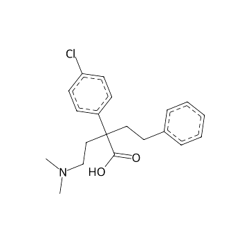 CN(C)CCC(CCc1ccccc1)(C(=O)O)c1ccc(Cl)cc1